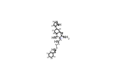 N=C1/C(=C\NCCCNSc2ccccc2)C(N)=Nc2cc(-c3ccn[nH]3)ccc21